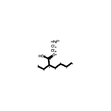 CCCCC(CC)C(=O)O.[Cl-].[Cl-].[Pd+2]